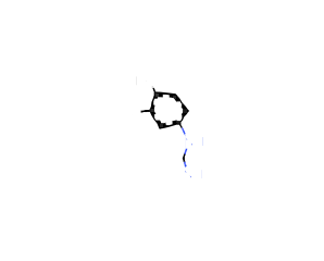 Cc1ccc(NCN)cc1C